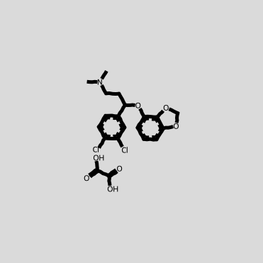 CN(C)CCC(Oc1cccc2c1OCO2)c1ccc(Cl)c(Cl)c1.O=C(O)C(=O)O